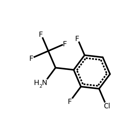 NC(c1c(F)ccc(Cl)c1F)C(F)(F)F